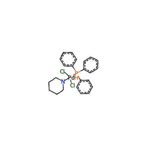 [Cl][Pd]([Cl])([N]1CCCCC1)[PH](c1ccccc1)(c1ccccc1)c1ccccc1